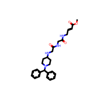 COC(=O)/C=C/CNC(=O)CNC(=O)CNC1CCN(C(c2ccccc2)c2ccccc2)CC1